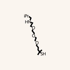 CC(C)CNCCOCCOCCOCCCC(C)(C)S